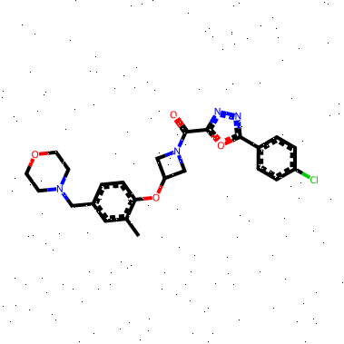 Cc1cc(CN2CCOCC2)ccc1OC1CN(C(=O)c2nnc(-c3ccc(Cl)cc3)o2)C1